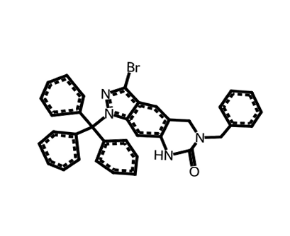 O=C1Nc2cc3c(cc2CN1Cc1ccccc1)c(Br)nn3C(c1ccccc1)(c1ccccc1)c1ccccc1